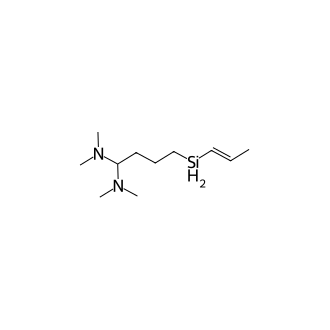 CC=C[SiH2]CCCC(N(C)C)N(C)C